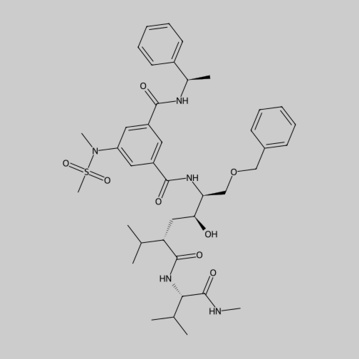 CNC(=O)[C@@H](NC(=O)[C@@H](C[C@H](O)[C@H](COCc1ccccc1)NC(=O)c1cc(C(=O)N[C@H](C)c2ccccc2)cc(N(C)S(C)(=O)=O)c1)C(C)C)C(C)C